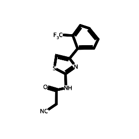 N#CCC(=O)Nc1nc(-c2ccccc2C(F)(F)F)cs1